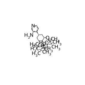 C[C@@H]1C[C@@H](c2ccncc2N)C[C@@H](O[Si](C)(C)C(C)(C)C)[C@H]1O[Si](C)(C)C(C)(C)C